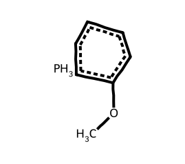 COc1ccccc1.P